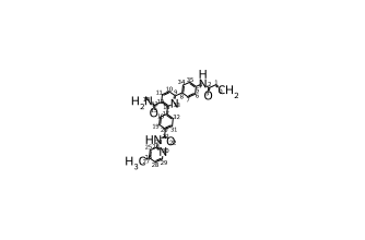 C=CC(=O)Nc1ccc(-c2ccc(C(N)=O)c(-c3ccc(C(=O)Nc4cc(C)ccn4)cc3)n2)cc1